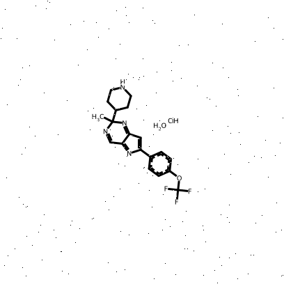 CC1(C2CCNCC2)N=CC2=NC(c3ccc(OC(F)(F)F)cc3)=CC2=N1.Cl.O